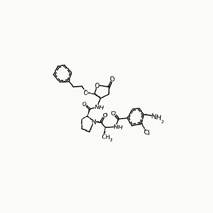 C[C@H](NC(=O)c1ccc(N)c(Cl)c1)C(=O)N1CCC[C@H]1C(=O)NC1CC(=O)OC1OCCc1ccccc1